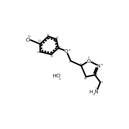 Cl.NCC1=NOC(COc2ccc(Cl)cc2)C1